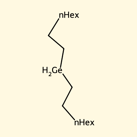 CCCCCCC[CH2][GeH2][CH2]CCCCCCC